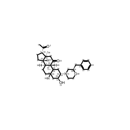 CC(=O)[C@H]1CC[C@H]2[C@@H]3CC[C@H]4C[C@H](O)[C@@H](N5CCO[C@H](Cc6ccccc6)C5)C[C@]4(C)[C@H]3C(=O)C[C@]12C